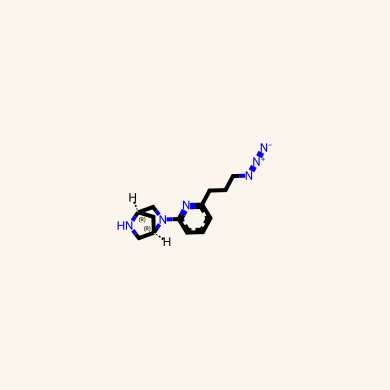 [N-]=[N+]=NCCCc1cccc(N2C[C@H]3C[C@@H]2CN3)n1